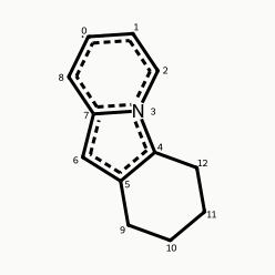 [c]1ccn2c3c(cc2c1)CCCC3